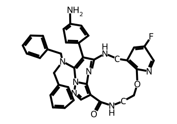 Nc1ccc(-c2c3nc4c(cnn4c2N(Cc2ccccc2)Cc2ccccc2)C(=O)NCCOc2ncc(F)cc2CN3)cc1